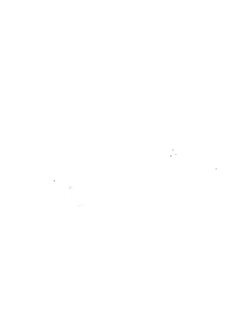 [CH2]/C=C/CCc1ccc2ccccc2c1